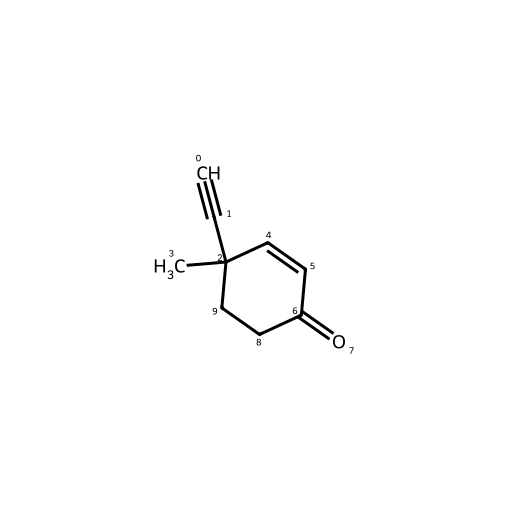 C#CC1(C)C=CC(=O)CC1